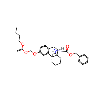 C=C(OCCCC)OCOc1ccc2c(c1)[C@]13CCCC[C@@H]1[C@H](C2)N(C(=O)OCc1ccccc1)CC3